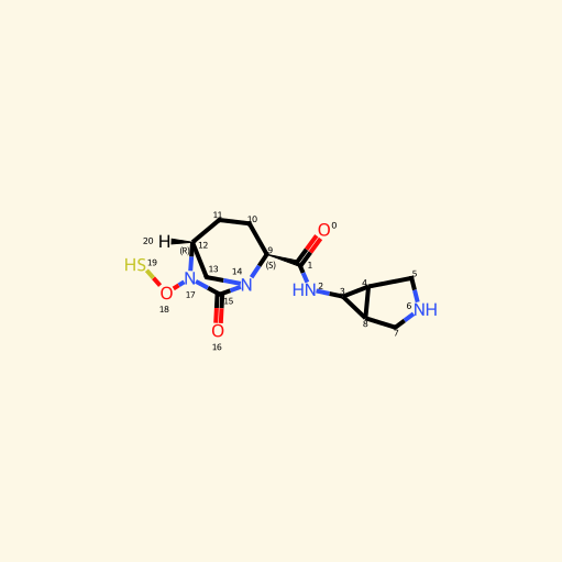 O=C(NC1C2CNCC21)[C@@H]1CC[C@@H]2CN1C(=O)N2OS